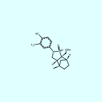 COC[C@@]12[C@@H]3CC[C@@H](C3)[C@@H]1CN(c1ccc(C#N)c(C(F)(F)F)c1)S2(=O)=O